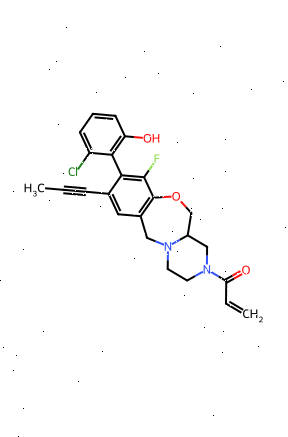 C=CC(=O)N1CCN2Cc3cc(C#CC)c(-c4c(O)cccc4Cl)c(F)c3OCC2C1